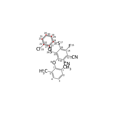 Cc1cccc(C)c1Oc1c(C#N)c(C#N)c(F)c(Sc2ccccc2Cl)c1Sc1ccccc1Cl